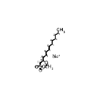 CCCCCCCCCCCC(CS(=O)(=O)[O-])OC.[Na+]